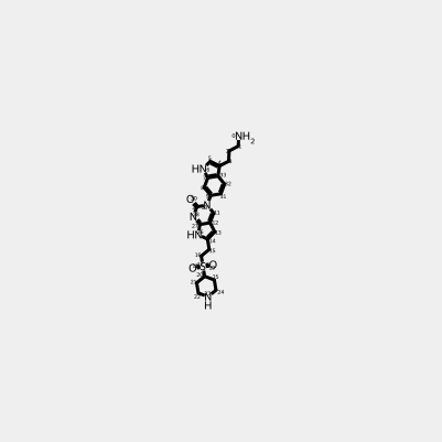 NCCCc1c[nH]c2cc(-n3cc4cc(CCS(=O)(=O)C5CCNCC5)[nH]c4nc3=O)ccc12